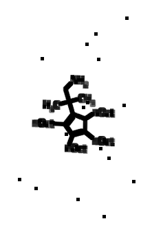 CCCCCCCCC1=C(CCCCCCCC)C(CCCCCCCC)C(C(C)(C)CN)=C1CCCCCCCC